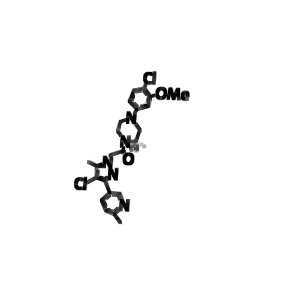 COc1cc(N2CCN(C(=O)Cn3nc(-c4ccc(C)nc4)c(Cl)c3C)[C@@H](C)C2)ccc1Cl